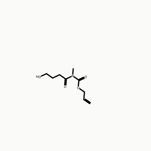 C=CCOC(=O)N(C)C(=O)CCCO